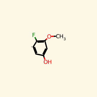 COc1cc(O)c[c]c1F